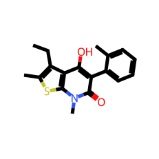 CCc1c(C)sc2c1c(O)c(-c1ccccc1C)c(=O)n2C